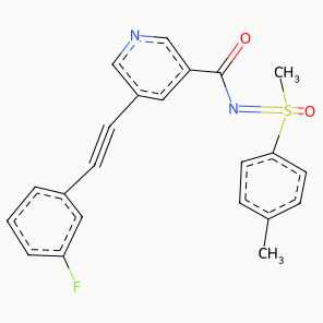 Cc1ccc(S(C)(=O)=NC(=O)c2cncc(C#Cc3cccc(F)c3)c2)cc1